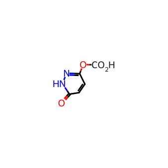 O=C(O)Oc1ccc(=O)[nH]n1